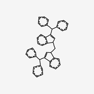 C1=C(C(c2ccccc2)c2ccccc2)c2ccccc2C1CC1C=C(C(c2ccccc2)c2ccccc2)c2ccccc21